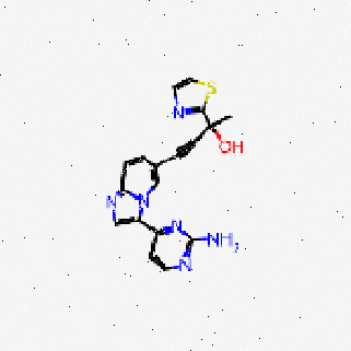 CC(O)(C#Cc1ccc2ncc(-c3ccnc(N)n3)n2c1)c1nccs1